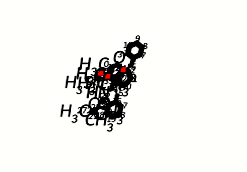 CC(C(=O)[C@@H](Cc1ccccc1)C[C@H]([C@H](Cc1ccccc1)NC(=O)OC(C)(C)C)C(C)(C)C)C(C)(O[SiH3])c1ccccc1